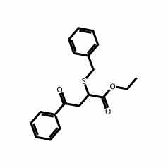 CCOC(=O)C(CC(=O)c1ccccc1)SCc1ccccc1